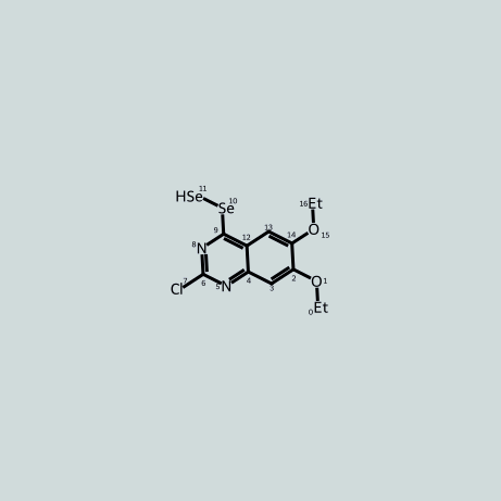 CCOc1cc2nc(Cl)nc([Se][SeH])c2cc1OCC